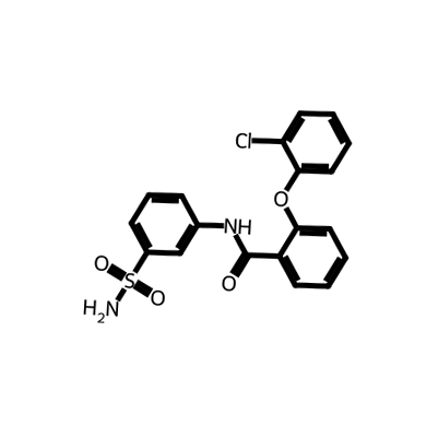 NS(=O)(=O)c1cccc(NC(=O)c2ccccc2Oc2ccccc2Cl)c1